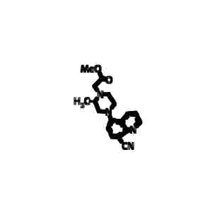 COC(=O)CN1CCN(c2ccc(C#N)c3ncccc23)C[C@@H]1C